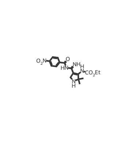 CCOC(=O)NC1=C(C(=N)NC(=O)c2ccc([N+](=O)[O-])cc2)CNC1(C)C